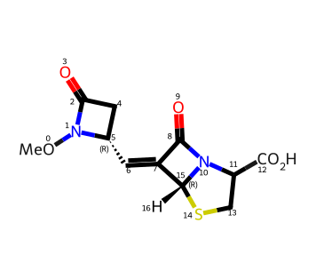 CON1C(=O)C[C@@H]1C=C1C(=O)N2C(C(=O)O)CS[C@H]12